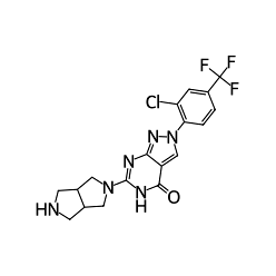 O=c1[nH]c(N2CC3CNCC3C2)nc2nn(-c3ccc(C(F)(F)F)cc3Cl)cc12